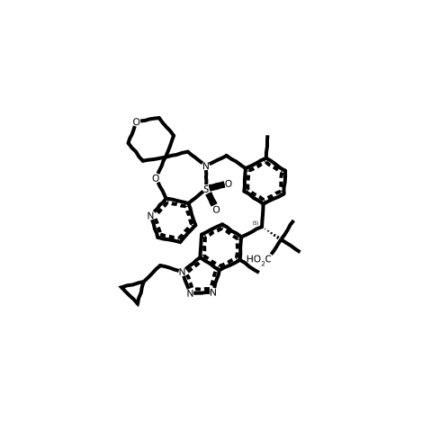 Cc1ccc([C@@H](c2ccc3c(nnn3CC3CC3)c2C)C(C)(C)C(=O)O)cc1CN1CC2(CCOCC2)Oc2ncccc2S1(=O)=O